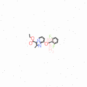 BC(B)(Oc1cccn2c(C(=O)OCC)c(C)nc12)c1c(F)cccc1F